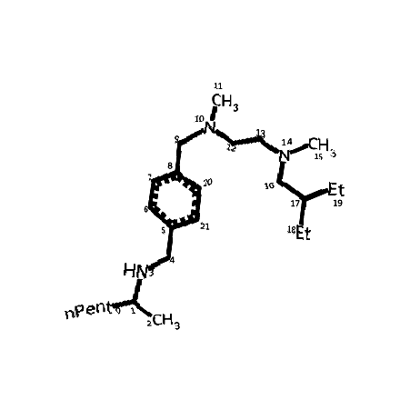 CCCCCC(C)NCc1ccc(CN(C)CCN(C)CC(CC)CC)cc1